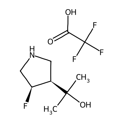 CC(C)(O)[C@@H]1CNC[C@@H]1F.O=C(O)C(F)(F)F